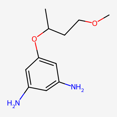 COCCC(C)Oc1cc(N)cc(N)c1